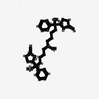 CC(CCCCC(O)CCCCC(C)(c1ccccc1)C1CCC(=O)O1)(c1ccccc1)C1CCC(=O)O1